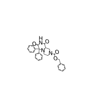 O=C1NC(=O)C(c2ccccc2)(c2ccccc2)N2CCN(C(=O)OCc3ccccc3)CC12